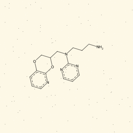 NCCCN(CC1COc2cccnc2O1)c1ncccn1